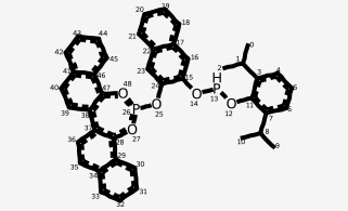 CC(C)c1cccc(C(C)C)c1OPOc1cc2ccccc2cc1Op1oc2c3ccccc3ccc2c2ccc3ccccc3c2o1